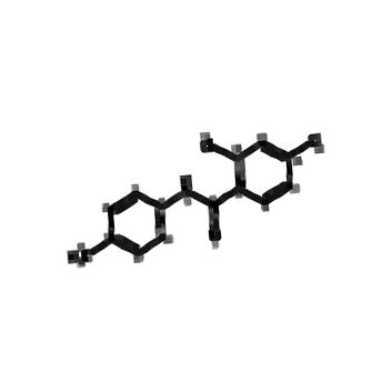 Cc1ccc(NC(=O)c2ccc(Cl)cc2Cl)cc1